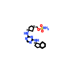 NS(=O)(=O)OC[C@H]1CC[C@H](Nc2ncnc(N[C@H]3CCc4ccccc43)n2)C1